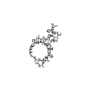 C=CCC(NC(=O)[C@@H]1C[C@@H]2CN1C(=O)[C@H](C(C)C)NC(=O)OCCCC/C=C/c1cccc3c1CN(C3)C(=O)O2)C(=O)N[S+]([O-])C1CC1